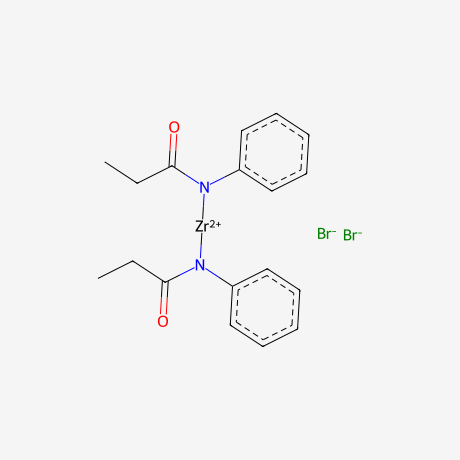 CCC(=O)[N]([Zr+2][N](C(=O)CC)c1ccccc1)c1ccccc1.[Br-].[Br-]